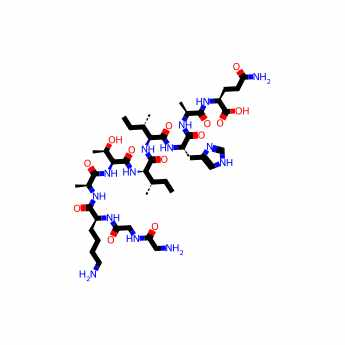 CC[C@H](C)[C@H](NC(=O)[C@@H](NC(=O)[C@H](C)NC(=O)[C@H](CCCCN)NC(=O)CNC(=O)CN)[C@@H](C)O)C(=O)N[C@H](C(=O)N[C@@H](Cc1c[nH]cn1)C(=O)N[C@@H](C)C(=O)N[C@@H](CCC(N)=O)C(=O)O)[C@@H](C)CC